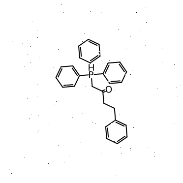 O=C(CCc1ccccc1)C[PH](c1ccccc1)(c1ccccc1)c1ccccc1